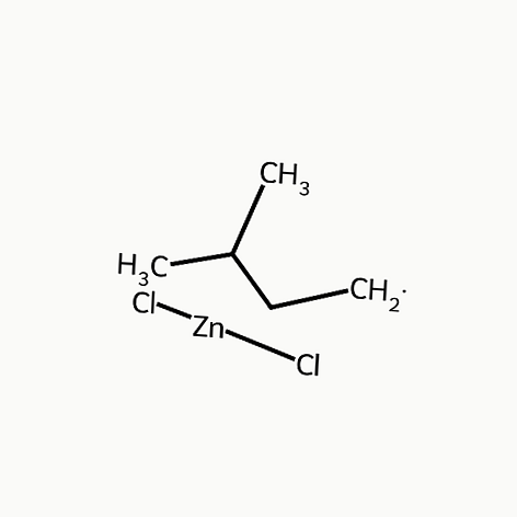 [CH2]CC(C)C.[Cl][Zn][Cl]